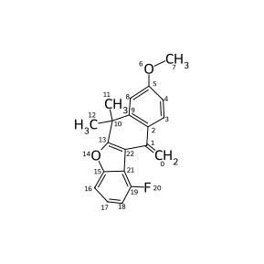 C=C1c2ccc(OC)cc2C(C)(C)c2oc3cccc(F)c3c21